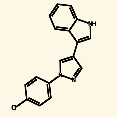 Clc1ccc(-n2cc(-c3c[nH]c4ccccc34)cn2)cc1